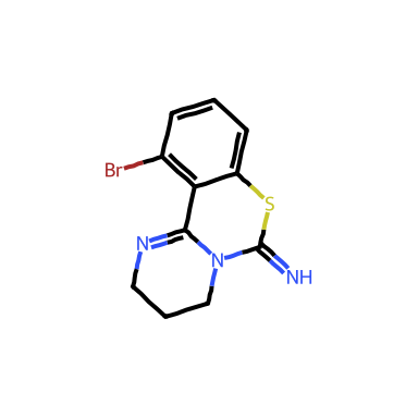 N=C1Sc2cccc(Br)c2C2=NCCCN12